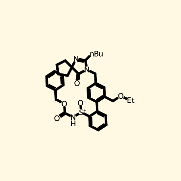 CCCCC1=NC2(CCCC2)C(=O)N1Cc1ccc(-c2ccccc2[S+]([O-])NC(=O)OCc2ccccc2)c(COCC)c1